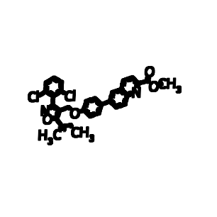 CC[C@H](C)c1onc(-c2c(Cl)cccc2Cl)c1COc1ccc(-c2ccc3nc(C(=O)OC)ccc3c2)cc1